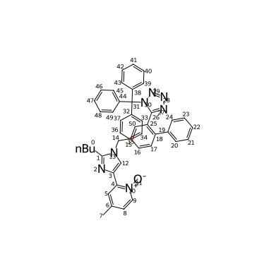 CCCCc1nc(-c2cc(C)cc[n+]2[O-])cn1Cc1ccc(-c2ccccc2)c(-c2nnnn2C(c2ccccc2)(c2ccccc2)c2ccccc2)c1